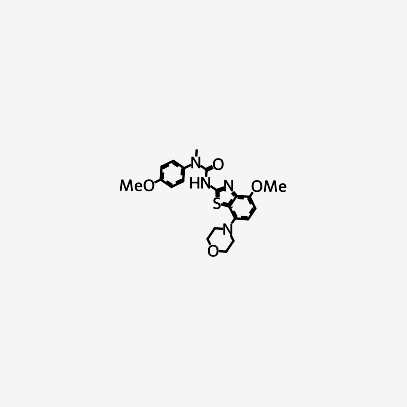 COc1ccc(N(C)C(=O)Nc2nc3c(OC)ccc(N4CCOCC4)c3s2)cc1